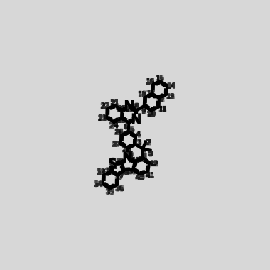 CC1(C)c2cc(-c3nc(-c4ccc5ccccc5c4)nc4ccccc34)ccc2-n2c3sc4ccccc4c3c3cccc1c32